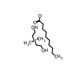 CCCCCCCCCC(=O)[O-].C[N+](C)(CCO)CCO